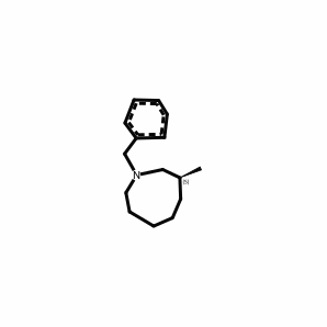 C[C@H]1CCCCCN(Cc2ccccc2)C1